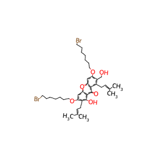 CC(C)=CCc1c(OCCCCCCCBr)cc2oc3cc(OCCCCCCCBr)c(CO)c(CC=C(C)C)c3c(=O)c2c1O